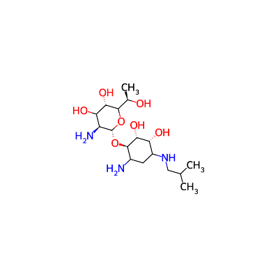 CC(C)CNC1CC(N)[C@@H](O[C@H]2OC([C@@H](C)O)[C@@H](O)C(O)[C@@H]2N)[C@H](O)[C@@H]1O